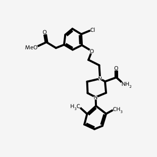 COC(=O)Cc1ccc(Cl)c(OCCN2CCN(c3c(C)cccc3C)CC2C(N)=O)c1